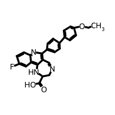 CCOc1ccc(-c2ccc(-c3nc4ccc(F)cc4c4c3C=NCC(C(=O)O)N4)cc2)cc1